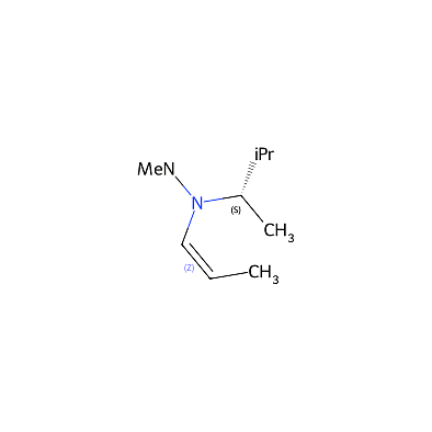 C/C=C\N(NC)[C@@H](C)C(C)C